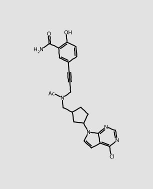 CC(=O)N(CC#Cc1ccc(O)c(C(N)=O)c1)CC1CCC(n2ccc3c(Cl)ncnc32)C1